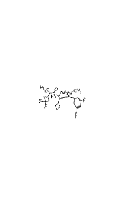 C[C@H](C(=O)Nc1nn(C)c(-c2cc(F)cc(F)c2)c1C1CCC1)C1CC(F)(F)C1